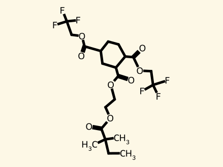 CCC(C)(C)C(=O)OCCOC(=O)C1CC(C(=O)OCC(F)(F)F)CCC1C(=O)OCC(F)(F)F